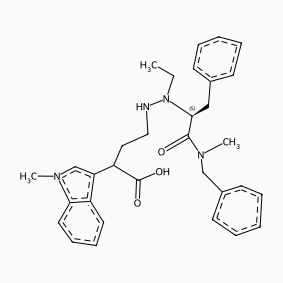 CCN(NCCC(C(=O)O)c1cn(C)c2ccccc12)[C@@H](Cc1ccccc1)C(=O)N(C)Cc1ccccc1